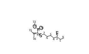 CCC(F)CCCCSC(C(=O)OC)C(C)C